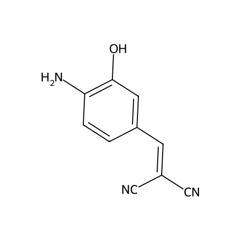 N#CC(C#N)=Cc1ccc(N)c(O)c1